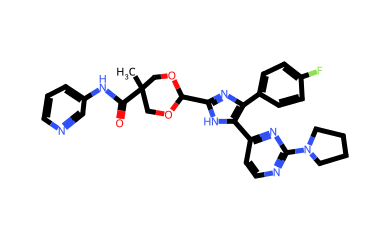 CC1(C(=O)Nc2cccnc2)COC(c2nc(-c3ccc(F)cc3)c(-c3ccnc(N4CCCC4)n3)[nH]2)OC1